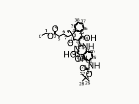 CCOC(=O)CCCC1(C)C(=O)C(C2=NS(O)(O)c3cc(NC(=O)OC(C)(C)C)ccc3N2)=C(O)c2ccccc21